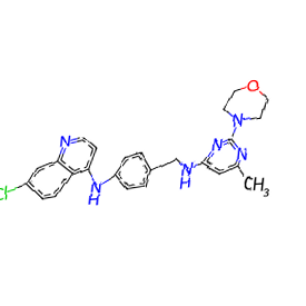 Cc1cc(NCc2ccc(Nc3ccnc4cc(Cl)ccc34)cc2)nc(N2CCOCC2)n1